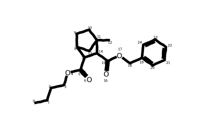 CCCCOC(=O)C1C2CCC(C)(C2)C1C(=O)OCc1ccccc1